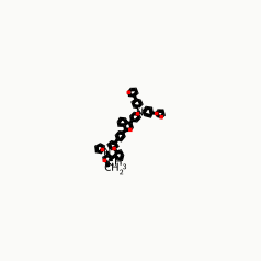 C=C/C=C\C1=C(C)c2ccccc2-c2cc(-c3ccc(-c4ccc(-c5ccc(N(c6ccc(-c7ccccc7)cc6)c6ccc(-c7ccccc7)cc6)cc5)c5ccccc45)cc3)ccc2N1c1ccccc1